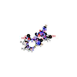 CCCC[C@H]1C(=O)N(C)[C@@H](CCCC)C(=O)N[C@@H](CC(C)C)C(=O)NCCSCC(NC)(Nc2ncc(Br)cn2)CC[C@H](NC(=O)[C@H](Cc2c[nH]c3ccccc23)NC(=O)C2CCCN2C(=O)CNC(=O)[C@H](CNc2ncc(Br)cn2)NC(=O)C2CCCN2C(=O)[C@H](CC(N)=O)NC(=O)[C@H](C)N(C)C(=O)[C@@H](C)Cc2ccc(O)cc2)C(=O)N[C@@H](Cc2cn(CC(=O)O)c3ccccc23)C(=O)N1C